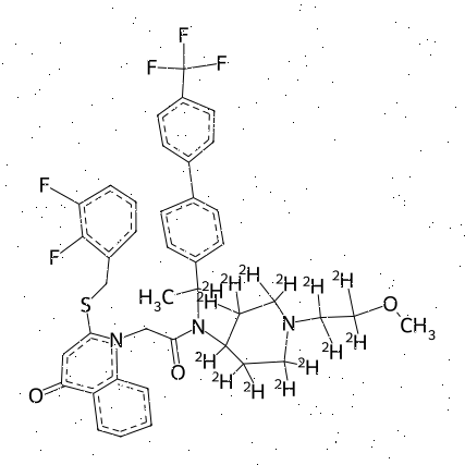 [2H]C(C)(c1ccc(-c2ccc(C(F)(F)F)cc2)cc1)N(C(=O)Cn1c(SCc2cccc(F)c2F)cc(=O)c2ccccc21)C1([2H])C([2H])([2H])C([2H])([2H])N(C([2H])([2H])C([2H])([2H])OC)C([2H])([2H])C1([2H])[2H]